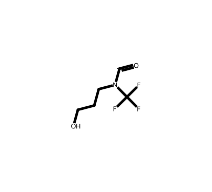 O=[C]N(CCCO)C(F)(F)F